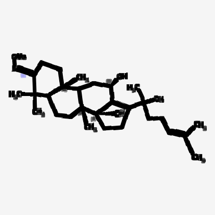 CO/N=C1\CC[C@@]2(C)C(CC[C@]3(C)C2C[C@@H](O)C2C(C(C)(O)CCC=C(C)C)CC[C@]23C)C1(C)C